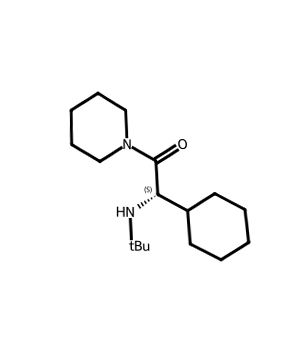 CC(C)(C)N[C@H](C(=O)N1CCCCC1)C1CCCCC1